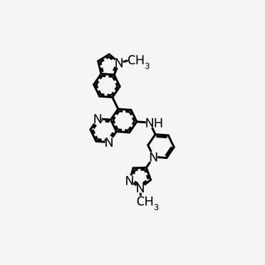 Cn1cc(N2C=CC=C(Nc3cc(-c4ccc5ccn(C)c5c4)c4nccnc4c3)C2)cn1